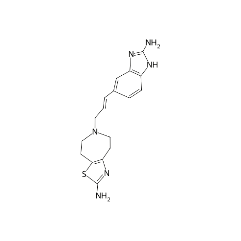 Nc1nc2cc(C=CCN3CCc4nc(N)sc4CC3)ccc2[nH]1